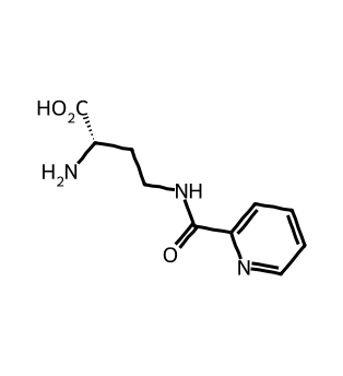 N[C@@H](CCNC(=O)c1ccccn1)C(=O)O